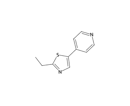 CCc1ncc(-c2ccncc2)s1